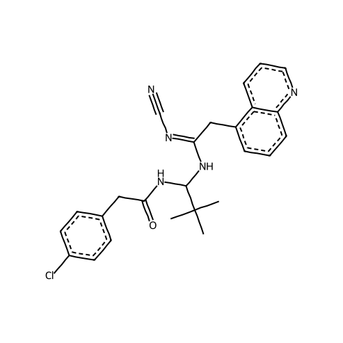 CC(C)(C)C(NC(=O)Cc1ccc(Cl)cc1)N/C(Cc1cccc2ncccc12)=N/C#N